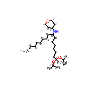 CCC(CC)OC(CCCCCCC(CCCCCCCC(=O)O)NC1CCOCC1)(OC(CC)CC)C(=O)O